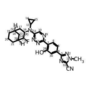 Cn1nc(-c2ccc(-c3ncc(N(C4CC4)[C@@H]4C[C@H]5CCC[C@H](C5)[C@@H]4F)nn3)c(O)c2)nc1C#N